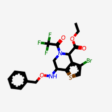 CCOC(=O)C1c2c(Br)csc2C(NOCc2ccccc2)CN1C(=O)C(F)(F)F